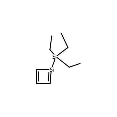 CC[Si](CC)(CC)[Si]1=CC=C1